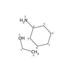 CCO.NC1CCCCC1